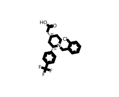 O=C(O)C[C@@H]1CCN(Cc2ccccc2Cl)[C@H](c2ccc(C(F)(F)F)cc2)C1